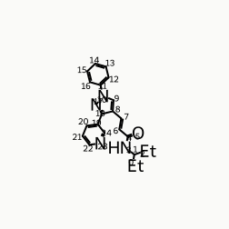 CCC(CC)NC(=O)/C=C/c1cn(-c2ccccc2)nc1-c1cccnc1